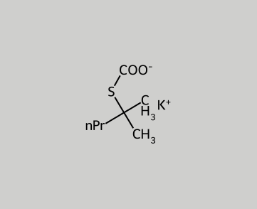 CCCC(C)(C)SC(=O)[O-].[K+]